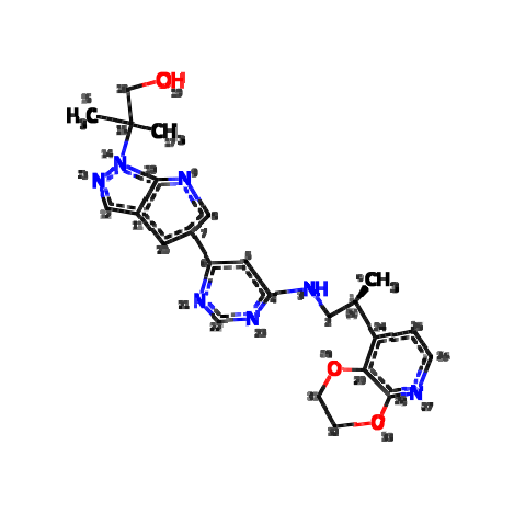 C[C@H](CNc1cc(-c2cnc3c(cnn3C(C)(C)CO)c2)ncn1)c1ccnc2c1OCCO2